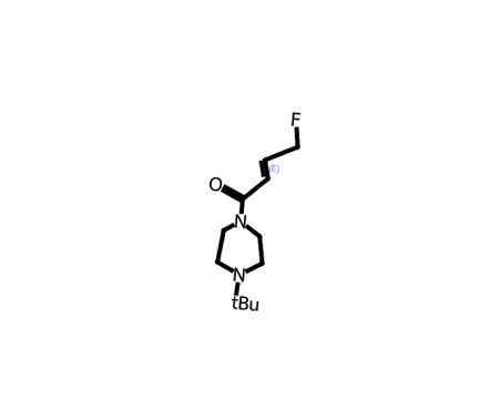 CC(C)(C)N1CCN(C(=O)/C=C/CF)CC1